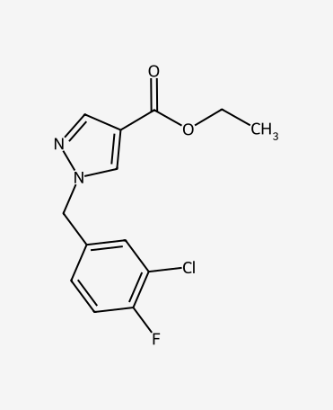 CCOC(=O)c1cnn(Cc2ccc(F)c(Cl)c2)c1